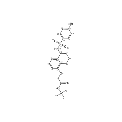 CC(C)(C)OC(=O)COc1cccc2c1CCCC2NS(=O)(=O)c1ccc(Br)cc1